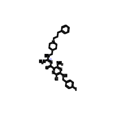 N/C(=N\C(=O)c1nc(Cl)c(NCc2ccc(I)cc2)nc1N)NCC1CCN(CCCc2ccccc2)CC1